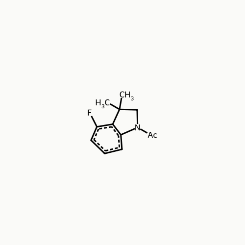 CC(=O)N1CC(C)(C)c2c(F)cccc21